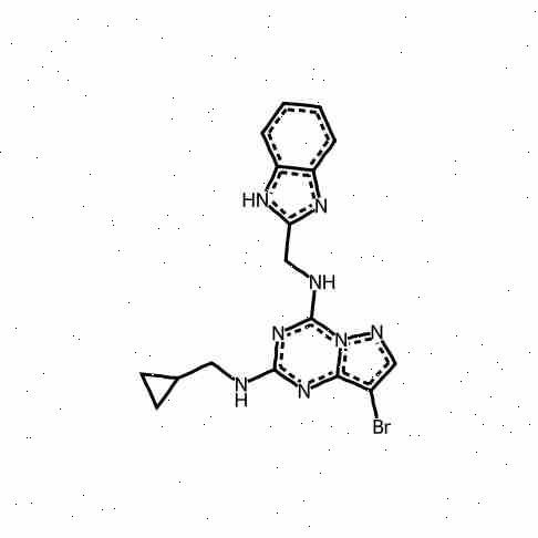 Brc1cnn2c(NCc3nc4ccccc4[nH]3)nc(NCC3CC3)nc12